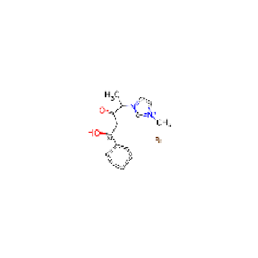 CC(C(=O)C[C@H](O)c1ccccc1)n1cc[n+](C)c1.[Br-]